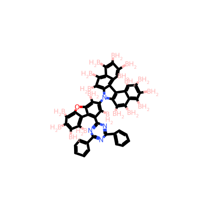 Bc1c(B)c(B)c2c(oc3c(B)c(-n4c5c(B)c(B)c6c(B)c(B)c(B)c(B)c6c5c5c6c(B)c(B)c(B)c(B)c6c(B)c(B)c54)c(B)c(-c4nc(-c5ccccc5)nc(-c5ccccc5)n4)c32)c1B